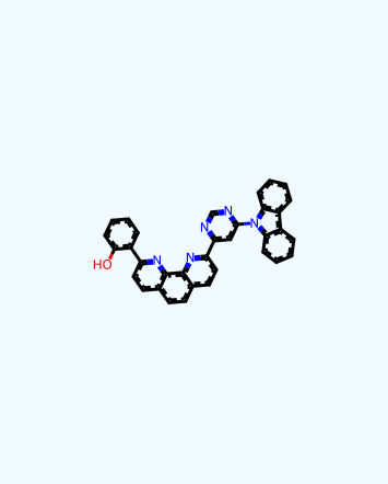 Oc1ccccc1-c1ccc2ccc3ccc(-c4cc(-n5c6ccccc6c6ccccc65)ncn4)nc3c2n1